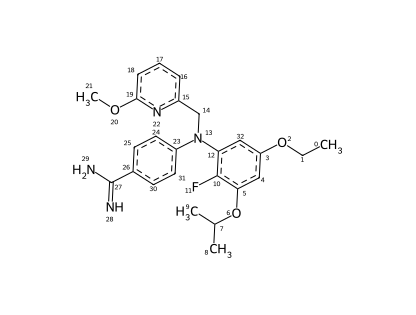 CCOc1cc(OC(C)C)c(F)c(N(Cc2cccc(OC)n2)c2ccc(C(=N)N)cc2)c1